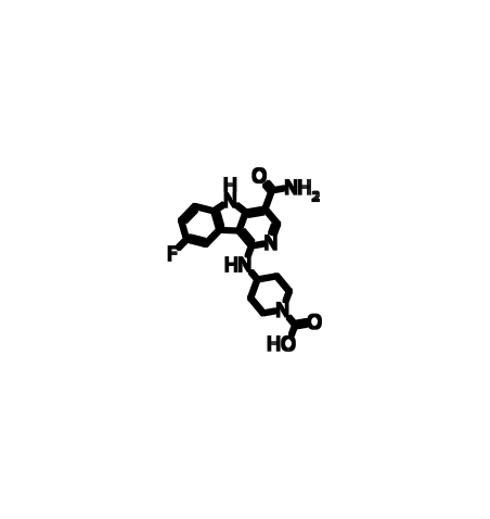 NC(=O)c1cnc(NC2CCN(C(=O)O)CC2)c2c1[nH]c1ccc(F)cc12